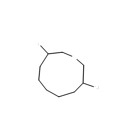 NC1CCCCCC(Br)CCC1